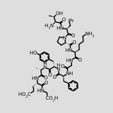 CC(C)C[C@H](NC(=O)[C@@H](N)[C@@H](C)O)C(=O)N1CCC[C@H]1C(=O)N[C@@H](CCCCN)C(=O)NCC(=O)N[C@@H](Cc1ccccc1)C(=O)N[C@@H](Cc1ccc(O)cc1)C(=O)N[C@@H](C)C(=O)N[C@@H](CCC(=O)O)C(=O)NCC(=O)O